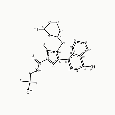 Cc1c(C(=O)NCC(C)(C)O)cc(-c2ccc(S)c3ccccc23)n1CC1CCCC(F)C1